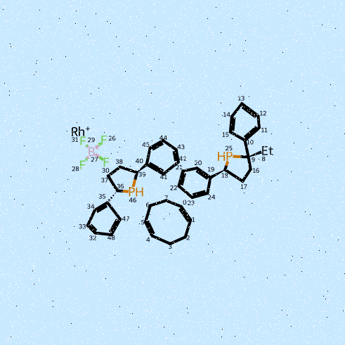 C1=C\CC/C=C\CC/1.CC[C@@]1(c2ccccc2)CC[C@@H](c2ccccc2)P1.F[B-](F)(F)F.[Rh+].c1ccc([C@@H]2CC[C@@H](c3ccccc3)P2)cc1